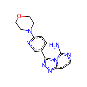 Nc1nccc2nnc(-c3ccc(N4CCOCC4)nc3)n12